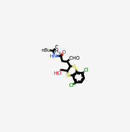 CCCCC(C)NC(=O)CC(C=O)C1Sc2c(Cl)ccc(Cl)c2SC1CO